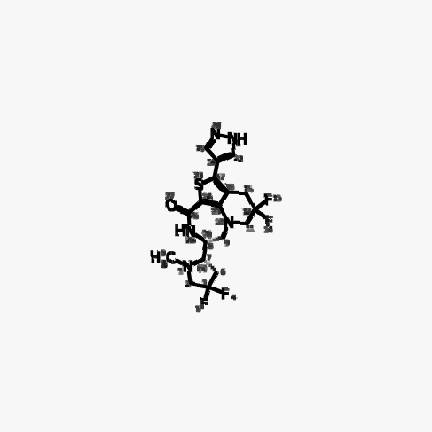 CN1CC(F)(F)C[C@H]1[C@H]1CN2CC(F)(F)Cc3c(-c4cn[nH]c4)sc(c32)C(=O)N1